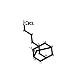 CCCCCCCCCCCC12CC3CC(CC(C3)C1)C2